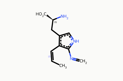 C=Nc1[nH]cc(C[C@H](N)C(=O)O)c1/C=C\C